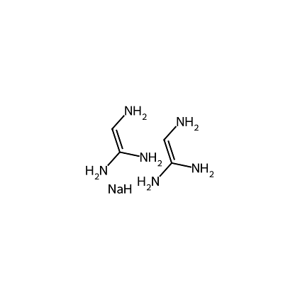 NC=C(N)N.NC=C(N)N.[NaH]